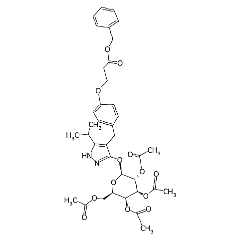 CC(=O)OC[C@H]1O[C@@H](Oc2n[nH]c(C(C)C)c2Cc2ccc(OCCC(=O)OCc3ccccc3)cc2)[C@H](OC(C)=O)[C@@H](OC(C)=O)[C@H]1OC(C)=O